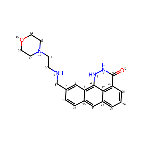 O=C1NNc2c3cc(CNCCN4CCOCC4)ccc3cc3cccc1c23